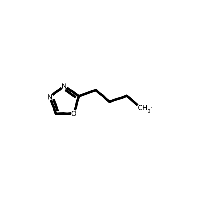 [CH2]CCCc1nnco1